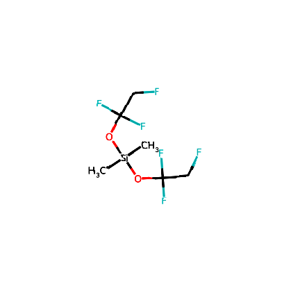 C[Si](C)(OC(F)(F)CF)OC(F)(F)CF